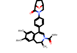 CNC(=O)N1C=C(c2ccc(N3CC4CCC(O4)C3=O)cc2)c2cc(OC)c(OC)cc2CC1C